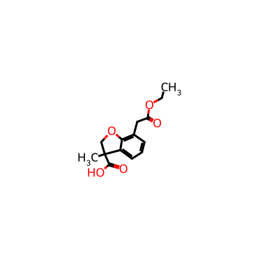 CCOC(=O)Cc1cccc2c1OCC2(C)C(=O)O